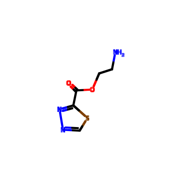 NCCOC(=O)c1nncs1